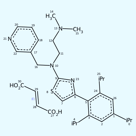 CC(C)c1cc(C(C)C)c(-c2csc(N(CCN(C)C)Cc3cccnc3)n2)c(C(C)C)c1.O=C(O)/C=C/C(=O)O